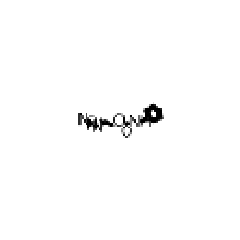 [N-]=[N+]=NCCOC(=O)NCc1ccccc1